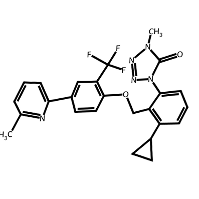 Cc1cccc(-c2ccc(OCc3c(C4CC4)cccc3-n3nnn(C)c3=O)c(C(F)(F)F)c2)n1